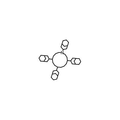 C1CC2CC(C1)CC(C1CCCC(C3CC4CCCC(C4)C3)CCN(C3CC4CCCC(C4)C3)CCCC(C3CC4CCCC(C4)C3)CC1)C2